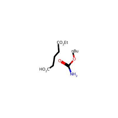 CCCCOC(N)=O.CCOC(=O)CCCC(=O)O